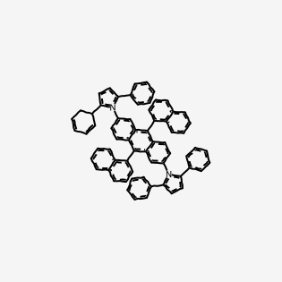 C1=CCC(c2ccc(-c3ccccc3)n2-c2ccc3c(-c4cccc5ccccc45)c4cc(-n5c(-c6ccccc6)ccc5-c5ccccc5)ccc4c(-c4cccc5ccccc45)c3c2)C=C1